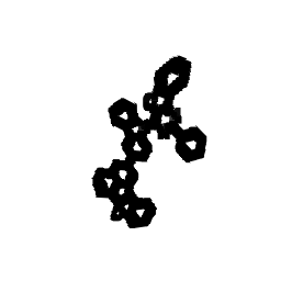 C1=CC(c2nc(-n3c4ccccc4c4cc(-c5cc6c7c(cccc7c5)-c5oc7ccccc7c5-6)ccc43)c3oc4ccccc4c3n2)=CCC1